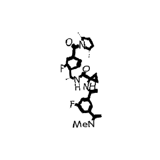 C=C(NC)c1cc(F)cc(C(=C)NC2(C(=O)N[C@H](C)c3ccc(C(=O)N4[C@H](C)CC[C@@H]4C)cc3F)CC2)c1